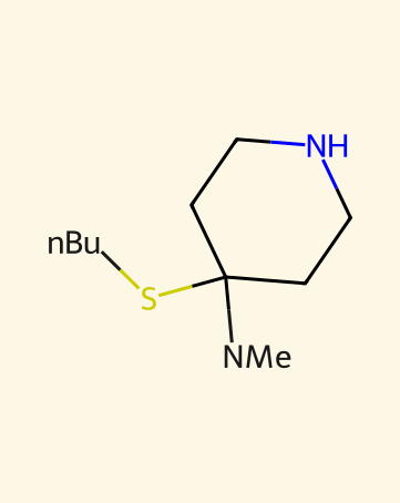 CCCCSC1(NC)CCNCC1